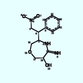 N=C1NC(C(C[N+](=O)[O-])c2ccccc2)COCC1O